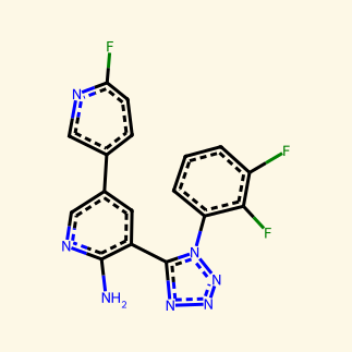 Nc1ncc(-c2ccc(F)nc2)cc1-c1nnnn1-c1cccc(F)c1F